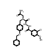 CC(C)Oc1ccc(C(=O)NNC(=O)N(CC(N)=O)Cc2ccc(OCc3ccccc3)cc2)cc1Cl